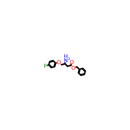 NC(COc1ccc(F)cc1)CC(=O)OCc1ccccc1